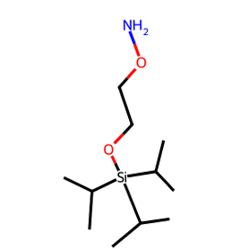 CC(C)[Si](OCCON)(C(C)C)C(C)C